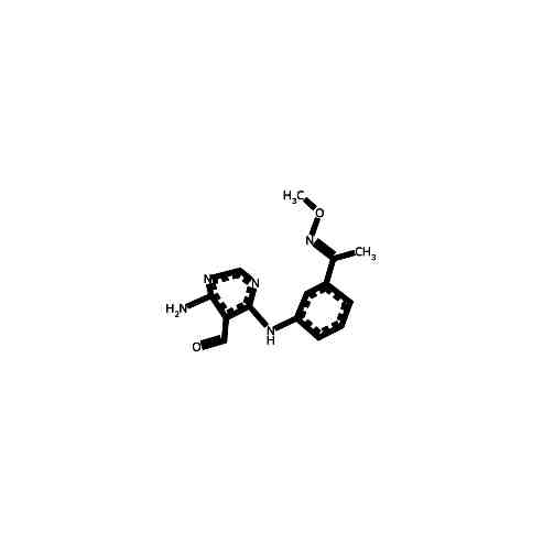 CON=C(C)c1cccc(Nc2ncnc(N)c2C=O)c1